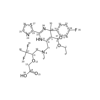 CCOC(=O)C1=C(CN(C)CC(OCC(=O)O)C(C)(F)F)NC(c2nccs2)=NC1(C)c1ccc(F)cc1